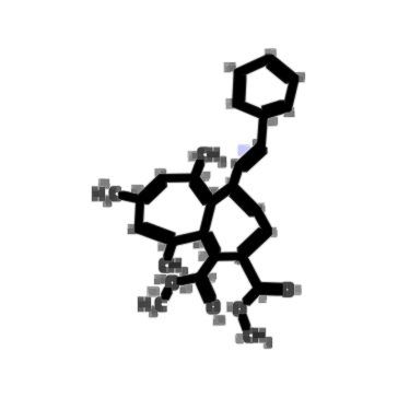 COC(=O)C1=CC=C(/C=C/c2ccccc2)C2=C(C)C=C(C)C=C(C)C2=C1C(=O)OC